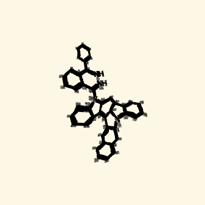 N=C(c1ccccc1)c1ccccc1C(=N)n1c2ccccc2c2c3c4cc5ccccc5cc4n4c5ccccc5c(cc21)c34